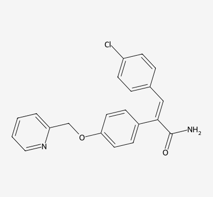 NC(=O)/C(=C/c1ccc(Cl)cc1)c1ccc(OCc2ccccn2)cc1